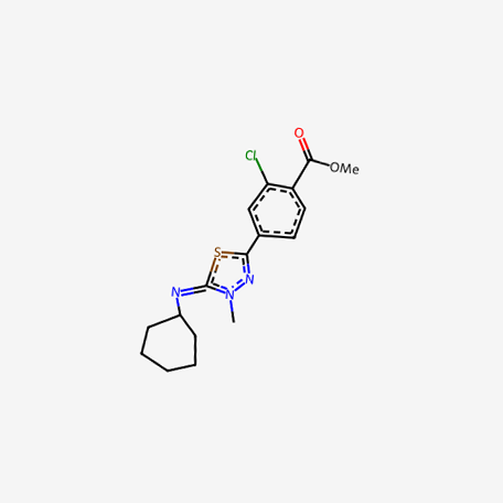 COC(=O)c1ccc(-c2nn(C)/c(=N\C3CCCCC3)s2)cc1Cl